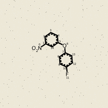 O=[N+]([O-])c1cccc(Oc2ccc(F)cc2)c1